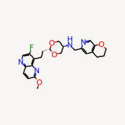 COc1ccc2ncc(F)c(CC[C@H]3OC[C@H](NCc4cc5c(cn4)OCCC5)CO3)c2n1